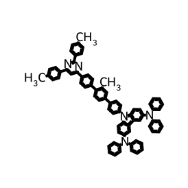 Cc1ccc(-c2cc(-c3ccc(-c4ccc(-c5ccc(-n6c7ccc(N(c8ccccc8)c8ccccc8)cc7c7cc(N(c8ccccc8)c8ccccc8)ccc76)cc5)cc4C)cc3)nc(-c3ccc(C)cc3)n2)cc1